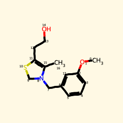 COc1cccc(CN2CSC(CCO)=C2C)c1